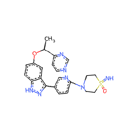 CC(Oc1ccc2[nH]nc(-c3ccc(N4CCS(=N)(=O)CC4)nc3)c2c1)c1ccncn1